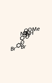 COC(=O)NS(=O)(=O)c1cc(Oc2ccc(Br)cc2Br)ccc1[N+](=O)[O-]